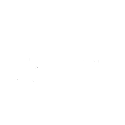 O=C(CCCCCNC(=O)C(O)(O)C(F)(F)F)Nc1ccccc1